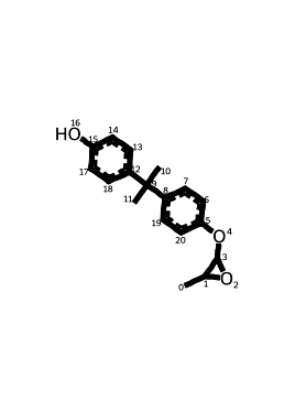 CC1OC1Oc1ccc(C(C)(C)c2ccc(O)cc2)cc1